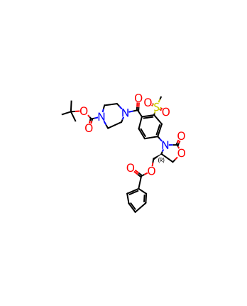 CC(C)(C)OC(=O)N1CCN(C(=O)c2ccc(N3C(=O)OC[C@H]3COC(=O)c3ccccc3)cc2S(C)(=O)=O)CC1